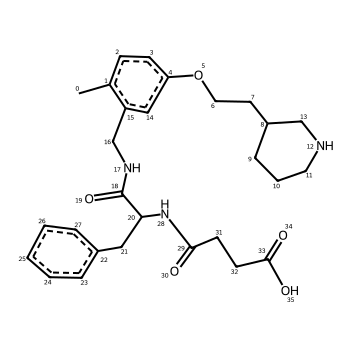 Cc1ccc(OCCC2CCCNC2)cc1CNC(=O)C(Cc1ccccc1)NC(=O)CCC(=O)O